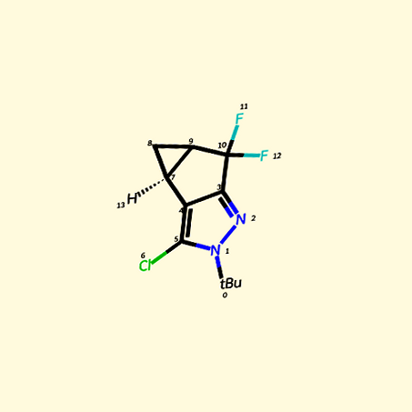 CC(C)(C)n1nc2c(c1Cl)[C@H]1CC1C2(F)F